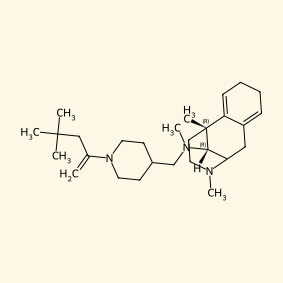 C=C(CC(C)(C)C)N1CCC(CN(C)[C@H]2C3CC4=CCCC=C4[C@@]2(C)CCN3C)CC1